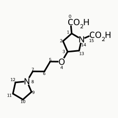 O=C(O)C1CC(OCCCN2CCCC2)CN1C(=O)O